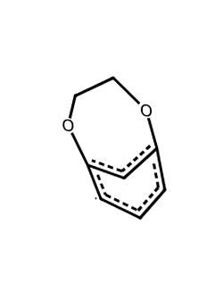 [c]1ccc2cc1OCCO2